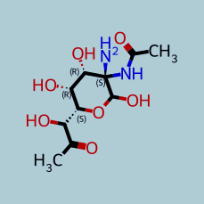 CC(=O)N[C@]1(N)C(O)O[C@H](C(O)C(C)=O)[C@H](O)[C@@H]1O